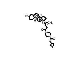 CC(CCC(=O)N1CCN(C(=O)OC2COC2)CC1)[C@H]1CC[C@H]2[C@@H]3CC=C4C[C@@H](O)CC[C@]4(C)[C@H]3CC[C@]12C